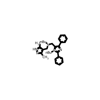 CCCCN(Cc1c(C)n[nH]c1C)Cc1c(-c2ccccc2)nc(-c2ccccc2)n1CCCC